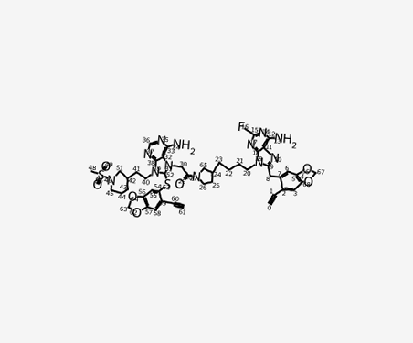 C#Cc1cc2c(cc1Cc1nc3c(N)nc(F)nc3n1CCCCC1CCN(C(=O)CN3c4c(N)ncnc4N(CCC4CCCN(S(C)(=O)=O)C4)C3Sc3cc4c(cc3C#C)OCO4)C1)OCO2